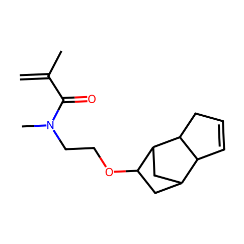 C=C(C)C(=O)N(C)CCOC1CC2CC1C1CC=CC21